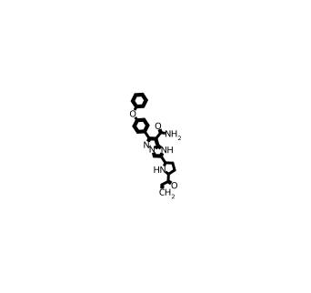 C=CC(=O)C1CCC(c2cn3nc(-c4ccc(Oc5ccccc5)cc4)c(C(N)=O)c3[nH]2)N1